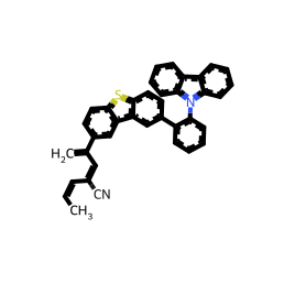 C=C(/C=C(C#N)\C=C/C)c1ccc2sc3ccc(-c4ccccc4-n4c5ccccc5c5ccccc54)cc3c2c1